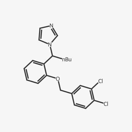 CCCCC(c1ccccc1OCc1ccc(Cl)c(Cl)c1)n1ccnc1